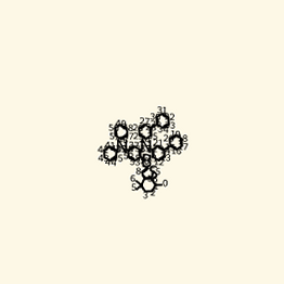 CC1CCC(C)(C)c2cc(B3c4ccc(-c5ccccc5)cc4N(c4cccc(-c5ccccc5)c4)c4cc(N(C5=CCCC=C5)c5ccccc5)ccc43)sc21